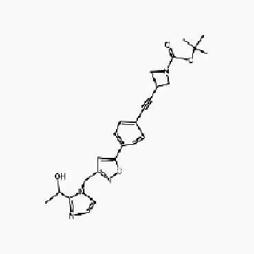 CC(O)c1nccn1Cc1cc(-c2ccc(C#CC3CN(C(=O)OC(C)(C)C)C3)cc2)on1